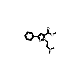 COC(=O)c1cc(-c2ccccc2)nn1CCN(C)C